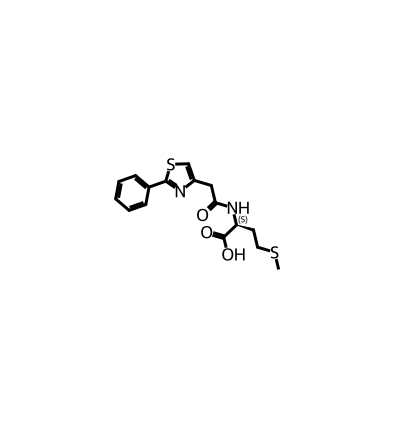 CSCC[C@H](NC(=O)Cc1csc(-c2ccccc2)n1)C(=O)O